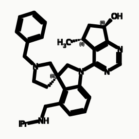 CC(C)NCc1cccc2c1[C@]1(CCN(Cc3ccccc3)C1)CN2c1ncnc2c1[C@H](C)C[C@H]2O